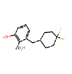 O=C(O)c1c(O)cccc1CC1CCC(F)(F)CC1